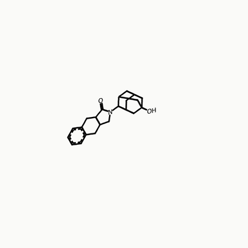 O=C1C2Cc3ccccc3CC2CN1C1C2CC3CC1CC(O)(C3)C2